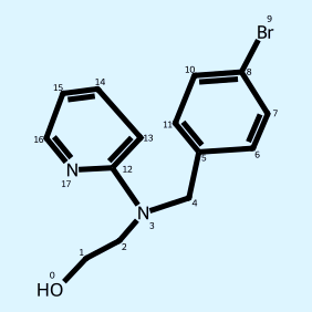 OCCN(Cc1ccc(Br)cc1)c1ccccn1